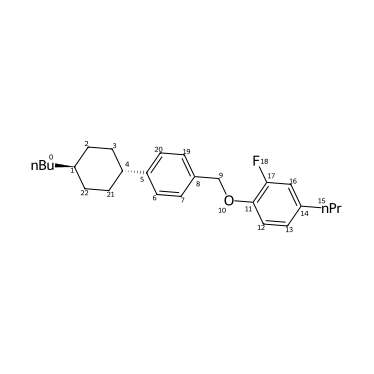 CCCC[C@H]1CC[C@H](c2ccc(COc3ccc(CCC)cc3F)cc2)CC1